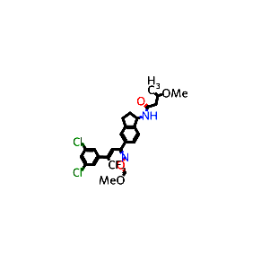 COCON=C(C=C(c1cc(Cl)cc(Cl)c1)C(F)(F)F)c1ccc2c(c1)CCC2NC(=O)CC(C)OC